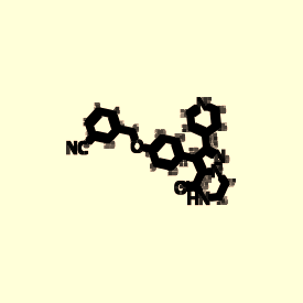 N#Cc1cccc(COc2ccc(-c3c(-c4ccncc4)nn4c3C(=O)NCC4)cc2)c1